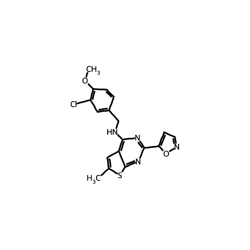 COc1ccc(CNc2nc(-c3ccno3)nc3sc(C)cc23)cc1Cl